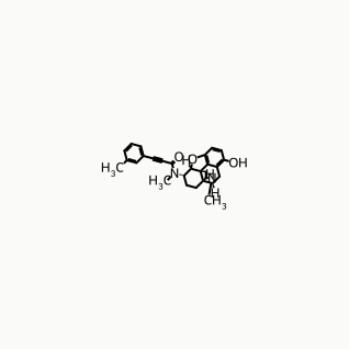 Cc1cccc(C#CC(=O)N(C)[C@H]2CC[C@H]3[C@H]4Cc5c(O)ccc6c5[C@@]3(CCN4C)[C@H]2O6)c1